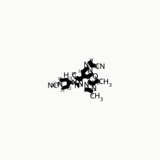 Cc1cncc(C(C)Oc2cc(-c3nnn(C4CCN(C#N)CC4)c3C)cc3ncc(C#N)n23)n1